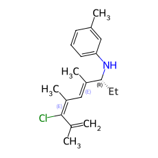 C=C(C)/C(Cl)=C(C)\C=C(/C)[C@@H](CC)Nc1cccc(C)c1